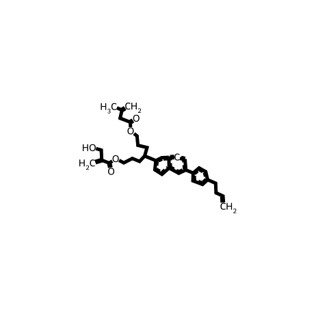 C=CCCc1ccc(-c2ccc3cc(C(CCCOC(=O)CC(=C)C)CCCOC(=O)C(=C)CO)ccc3c2)cc1